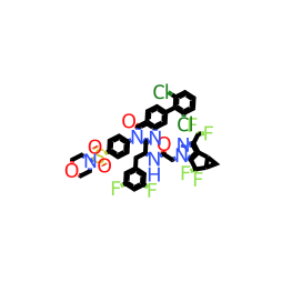 O=C(Cn1nc(C(F)F)c2c1C(F)(F)C1CC21)NC(Cc1cc(F)cc(F)c1)c1nc2cc(-c3c(Cl)cccc3Cl)ccc2c(=O)n1-c1ccc(S(=O)(=O)N2CCOCC2)cc1